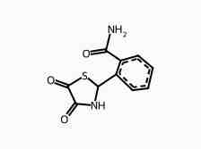 NC(=O)c1ccccc1C1NC(=O)C(=O)S1